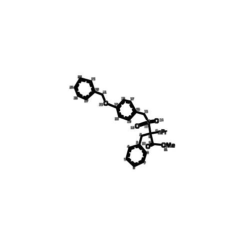 CCCC(Cc1ccccc1)(C(=O)OC)S(=O)(=O)Cc1ccc(OCc2ccccc2)cc1